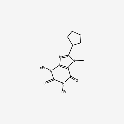 CCCn1c(=O)c2c(nc(C3CCCC3)n2C)n(CCC)c1=O